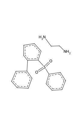 NCCN.O=S(=O)(c1ccccc1)c1ccccc1-c1ccccc1